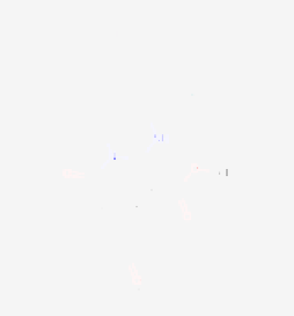 COC(=O)c1c(CC=O)cc(=O)n(C)c1Nc1ccc(I)cc1F